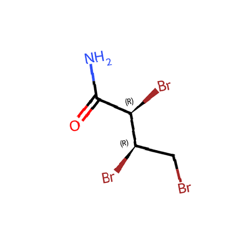 NC(=O)[C@@H](Br)[C@H](Br)CBr